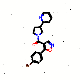 O=C(c1cnoc1-c1ccc(Br)cc1)N1CCC(c2ccccn2)C1